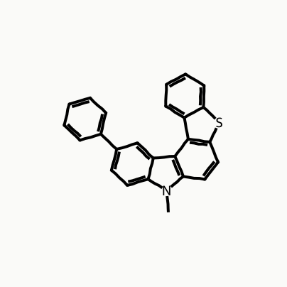 Cn1c2ccc(-c3ccccc3)cc2c2c3c(ccc21)sc1ccccc13